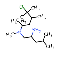 CC(C)CC(N)CN(C)C(C)CC(C)C(C)(C)Cl